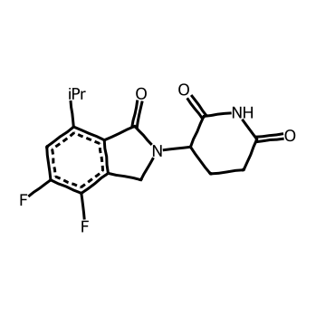 CC(C)c1cc(F)c(F)c2c1C(=O)N(C1CCC(=O)NC1=O)C2